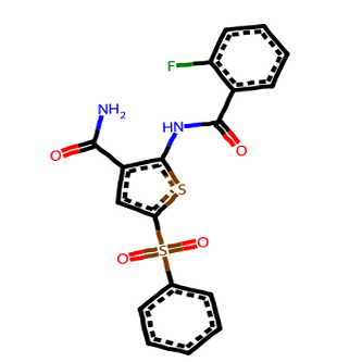 NC(=O)c1cc(S(=O)(=O)c2ccccc2)sc1NC(=O)c1ccccc1F